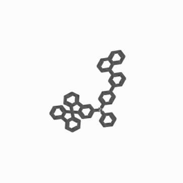 c1ccc(N(c2ccc(-c3cccc(-c4cccc5ccccc45)c3)cc2)c2ccc3c(c2)-c2ccccc2C32c3ccccc3-c3ccccc32)cc1